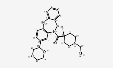 O=C(N1Cc2cccnc2Nc2ccc(C3COCCO3)cc21)C1(F)CCN(CC(F)(F)F)CC1